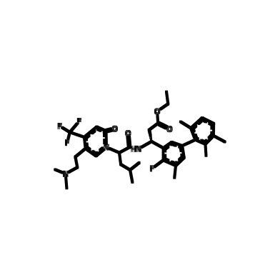 CCOC(=O)C[C@H](NC(=O)C(CC(C)C)n1cc(CCN(C)C)c(C(F)(F)F)cc1=O)c1cc(-c2c(C)ccc(C)c2C)cc(C)c1F